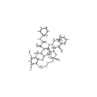 CCCCS(=O)(=O)CC(NC(=O)c1cccnc1)C(=O)NC(Cc1cc(F)cc(F)c1)C(O)C(SCCOC)C(=O)NCc1ccccc1